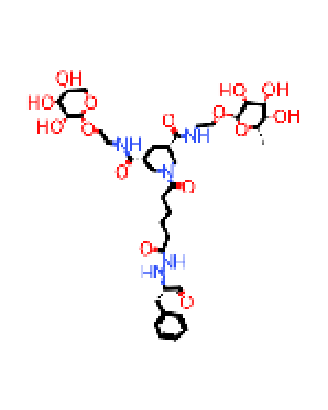 C[C@@H]1O[C@@H](OCCNC(=O)[C@H]2C[C@@H](C(=O)NCCO[C@@H]3OC[C@@H](O)[C@@H](O)[C@@H]3O)CN(C(=O)CCCCC(=O)NN[C@H](C=O)Cc3ccccc3)C2)[C@@H](O)[C@H](O)[C@@H]1O